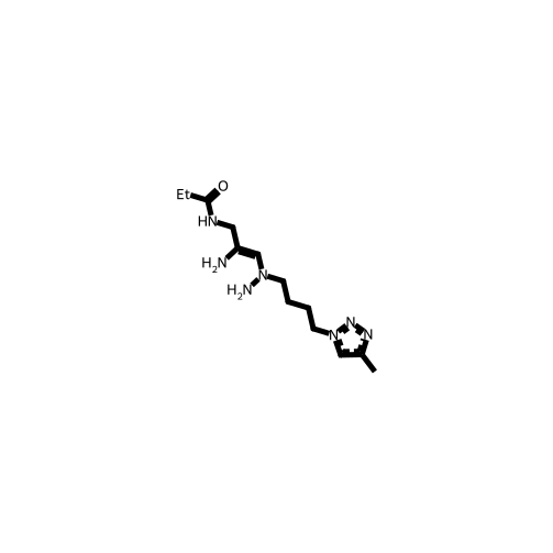 CCC(=O)NC/C(N)=C/N(N)CCCCn1cc(C)nn1